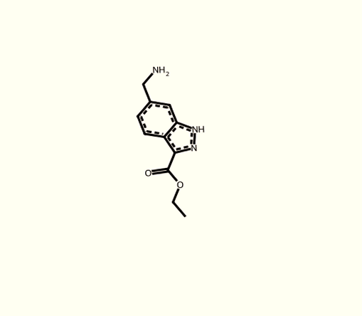 CCOC(=O)c1n[nH]c2cc(CN)ccc12